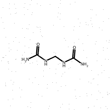 NC(=O)NCNC(N)=O